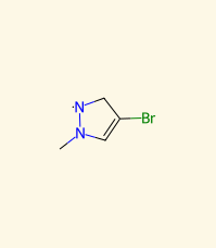 CN1C=C(Br)C[N]1